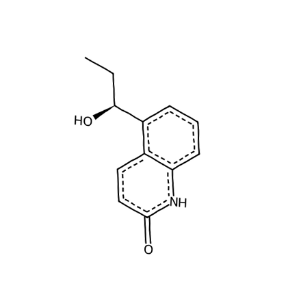 CC[C@H](O)c1cccc2[nH]c(=O)ccc12